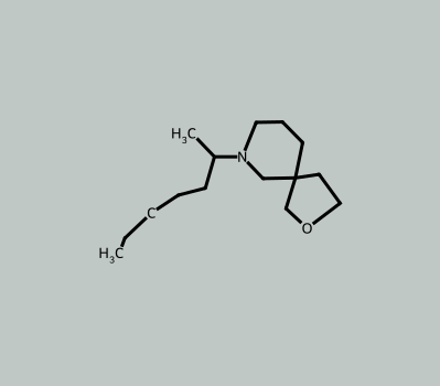 CCCCCC(C)N1CCCC2(CCOC2)C1